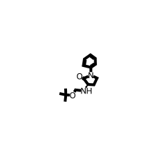 CC(C)(C)OCN[C@@H]1CCN(c2ccccc2)C1=O